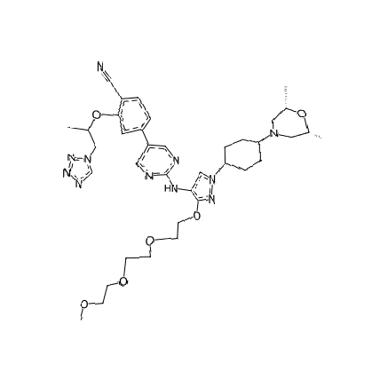 COCCOCCOCCOc1nn(C2CCC(N3C[C@@H](C)O[C@@H](C)C3)CC2)cc1Nc1ncc(-c2ccc(C#N)c(OC(C)Cn3cnnn3)c2)cn1